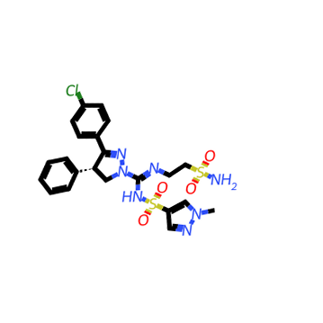 Cn1cc(S(=O)(=O)N/C(=N\CCS(N)(=O)=O)N2C[C@H](c3ccccc3)C(c3ccc(Cl)cc3)=N2)cn1